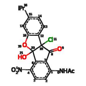 CC(=O)Nc1ccc([N+](=O)[O-])c2c1C(=O)C1(Cl)c3ccc(C(C)C)cc3OC21O